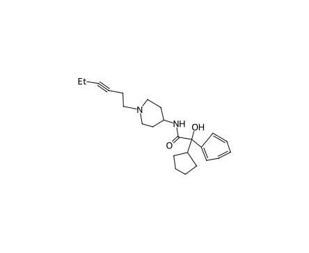 CCC#CCCN1CCC(NC(=O)C(O)(c2ccccc2)C2CCCC2)CC1